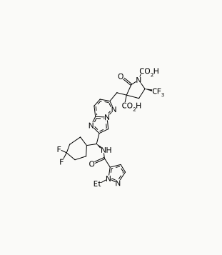 CCn1nccc1C(=O)N[C@H](c1cn2nc(CC3(C(=O)O)C[C@H](C(F)(F)F)N(C(=O)O)C3=O)ccc2n1)C1CCC(F)(F)CC1